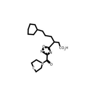 O=C(O)CC(CCCC1CCCCC1)c1nc(C(=O)N2CCCCC2)no1